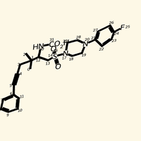 CC(C)(CC#Cc1ccccc1)C(CS(=O)(=O)N1CCN(c2ccc(F)cc2)CC1)NC(=O)O